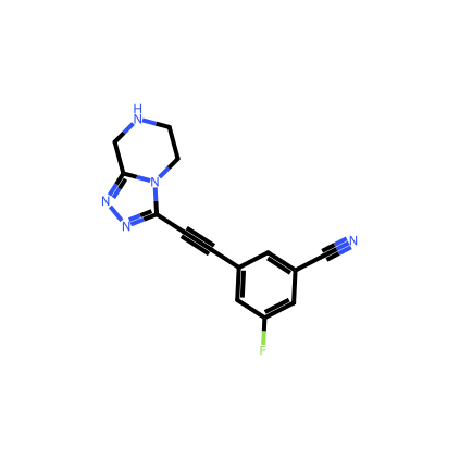 N#Cc1cc(F)cc(C#Cc2nnc3n2CCNC3)c1